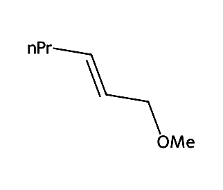 [CH2]CCC=CCOC